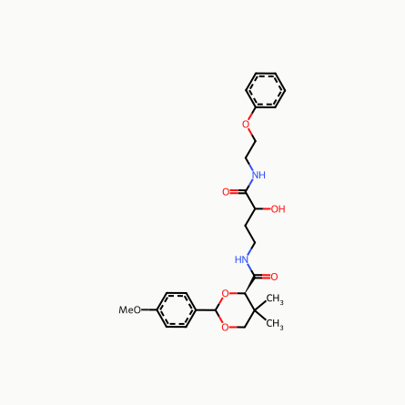 COc1ccc(C2OCC(C)(C)[C@H](C(=O)NCCC(O)C(=O)NCCOc3ccccc3)O2)cc1